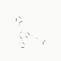 Cc1cc(-c2cnc(NCc3c(F)ccc4c3CCO4)n3cc(CNCCS(=O)(=O)F)nc23)n(C)n1